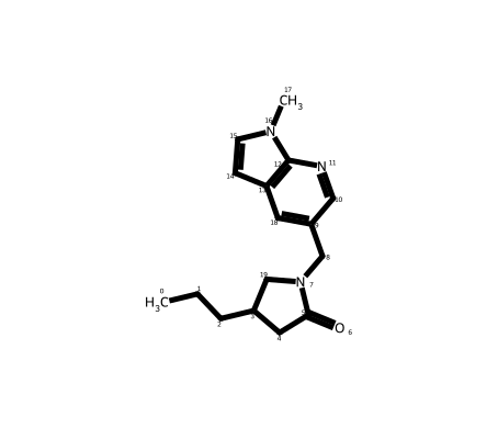 CCCC1CC(=O)N(Cc2cnc3c(ccn3C)c2)C1